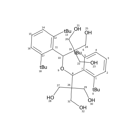 CC(C)(C)c1cccc(C(C)(C)C)c1C(OC(c1c(C(C)(C)C)cccc1C(C)(C)C)C(CO)(CO)CO)C(CO)(CO)CO